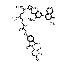 COc1cc(-c2cn(C)c(=O)c3cnccc23)cc(OC)c1CN1CC[C@@H]1N(C=O)CCN(C)CCNC(=O)COc1ccc2c(c1)C(=O)N(C1CCC(=O)NC1=O)C2=O